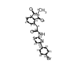 CN1C(=O)c2cccc(CC(=O)Nc3nc(-c4ccc(Br)cc4)cs3)c2C1=O